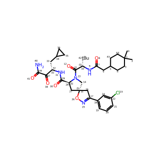 CC1(C)CCC(CC(=O)N[C@H](C(=O)N2C[C@@]3(CC(c4cccc(Cl)c4)=NO3)C[C@H]2C(=O)N[C@@H](CC2CC2)C(=O)C(N)=O)C(C)(C)C)CC1